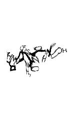 C[C@@H](Nc1cc(C(F)(F)F)c(-c2sc(C(=O)NCC(C)(C)O)nc2C(N)=O)cn1)C1CCC1